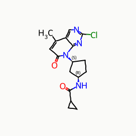 Cc1cc(=O)n([C@H]2CC[C@@H](NC(=O)C3CC3)C2)c2nc(Cl)ncc12